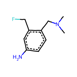 CN(C)Cc1ccc(N)cc1CF